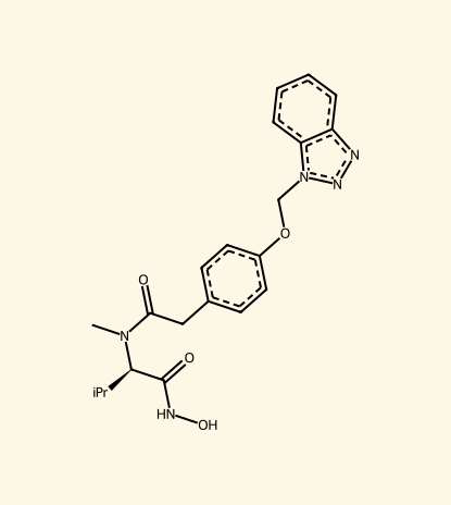 CC(C)[C@H](C(=O)NO)N(C)C(=O)Cc1ccc(OCn2nnc3ccccc32)cc1